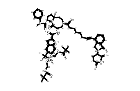 CN(C(=O)[C@@H]1CC[C@@H]2CCN(C(=O)CCCCCC#Cc3cccc4c3CN(C3CCC(=O)NC3=O)C4=O)C[C@H](NC(=O)c3cc4cc(C(F)(F)P(=O)(OCOC(=O)C(C)(C)C)OCOC(=O)C(C)(C)C)ccc4[nH]3)C(=O)N21)c1ccccc1